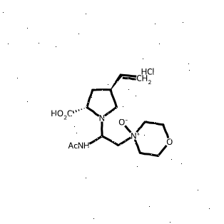 C=C[C@@H]1C[C@@H](C(=O)O)N(C(C[N+]2([O-])CCOCC2)NC(C)=O)C1.Cl